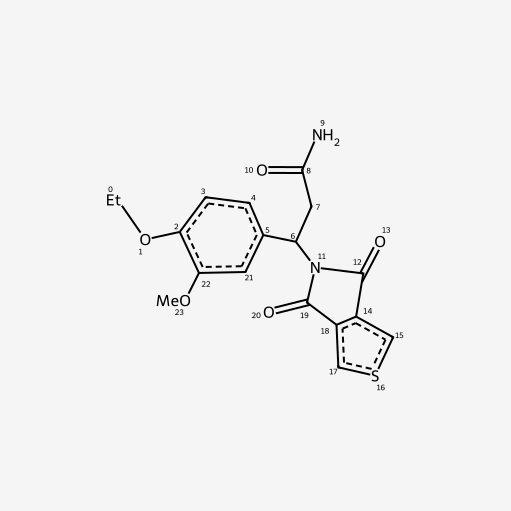 CCOc1ccc(C(CC(N)=O)N2C(=O)c3cscc3C2=O)cc1OC